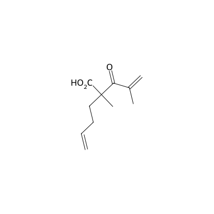 C=CCCC(C)(C(=O)O)C(=O)C(=C)C